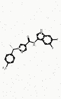 C[C@@H](c1ccc(C(F)(F)F)cc1)n1cc(C(=O)Nc2c[nH]c3cc(F)c(F)cc23)cn1